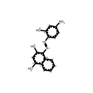 O=[N+]([O-])c1ccc(/N=N/c2c(O)cc(O)c3ccccc23)c(O)c1